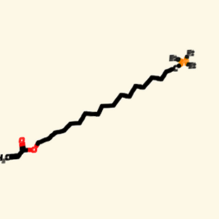 C=CC(=O)OCCCCCCCCCCCCCCCCCC[P+](CC)(CC)CC